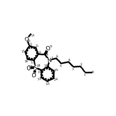 CCCCCCCN1C(=O)c2cc(OC)ccc2S(=O)(=O)c2ccccc21